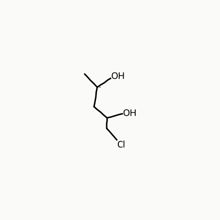 C[C](O)CC(O)CCl